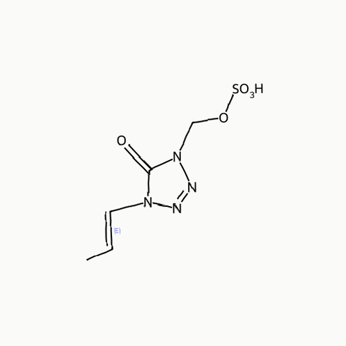 C/C=C/n1nnn(COS(=O)(=O)O)c1=O